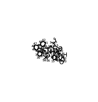 CC[C@H](C)C(CS(=O)(=O)C(C)(Cc1ccccc1)C(=O)N[C@@H]1CCOC1=O)NCC(CSC(c1ccccc1)(c1ccccc1)c1ccccc1)NC(=O)OC(C)(C)C